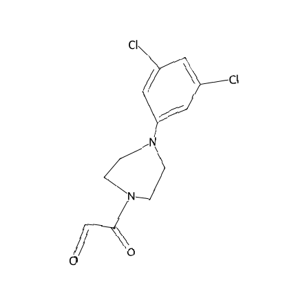 O=CC(=O)N1CCN(c2cc(Cl)cc(Cl)c2)CC1